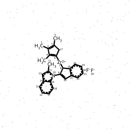 CC1=C(C)C(C)=[C]([Zr+2][CH]2C(n3c(C)cc4ccccc43)=Cc3ccccc32)C1.[F-].[F-]